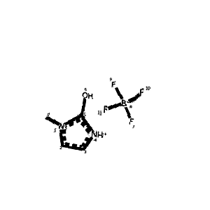 Cn1cc[nH+]c1O.F[B-](F)(F)F